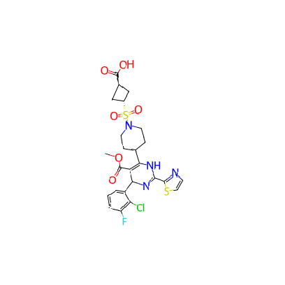 COC(=O)C1=C(C2CCN(S(=O)(=O)[C@H]3C[C@H](C(=O)O)C3)CC2)NC(c2nccs2)=NC1c1cccc(F)c1Cl